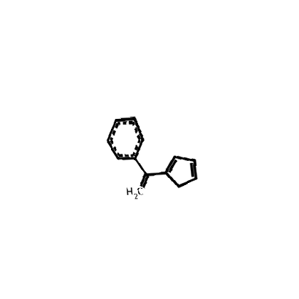 C=C(C1=CC=CC1)c1ccccc1